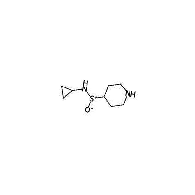 [O-][S+](NC1CC1)C1CCNCC1